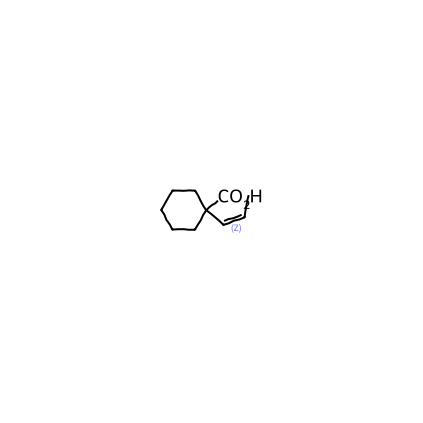 C/C=C\C1(C(=O)O)CCCCC1